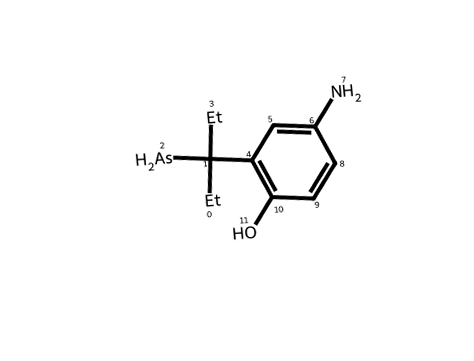 CCC([AsH2])(CC)c1cc(N)ccc1O